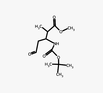 COC(=O)C(C)C(CC=O)NC(=O)OC(C)(C)C